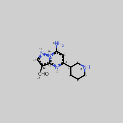 Nc1cc(C2CCCNC2)nc2c(C=O)cnn12